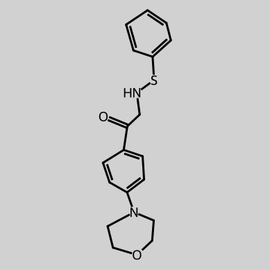 O=C(CNSc1ccccc1)c1ccc(N2CCOCC2)cc1